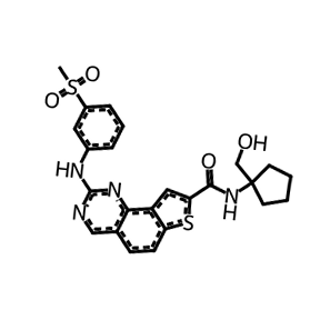 CS(=O)(=O)c1cccc(Nc2ncc3ccc4sc(C(=O)NC5(CO)CCCC5)cc4c3n2)c1